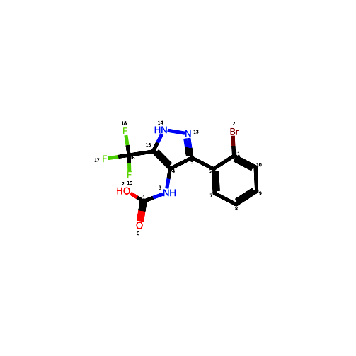 O=C(O)Nc1c(-c2ccccc2Br)n[nH]c1C(F)(F)F